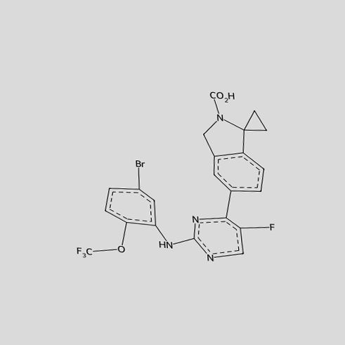 O=C(O)N1Cc2cc(-c3nc(Nc4cc(Br)ccc4OC(F)(F)F)ncc3F)ccc2C12CC2